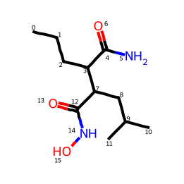 CCCC(C(N)=O)C(CC(C)C)C(=O)NO